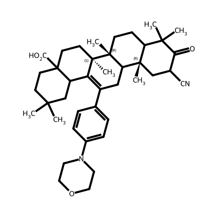 CC1(C)CCC2(C(=O)O)CC[C@]3(C)C(=C(c4ccc(N5CCOCC5)cc4)CC4[C@@]5(C)CC(C#N)C(=O)C(C)(C)C5CC[C@]43C)C2C1